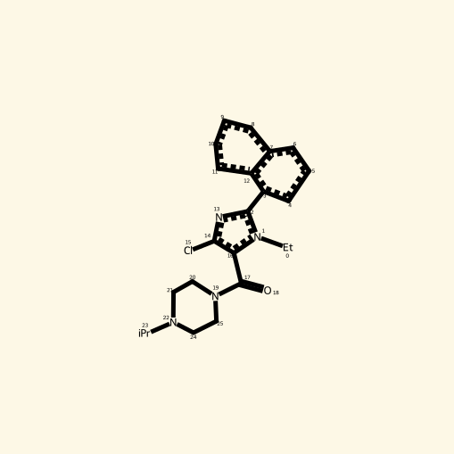 CCn1c(-c2cccc3ccccc23)nc(Cl)c1C(=O)N1CCN(C(C)C)CC1